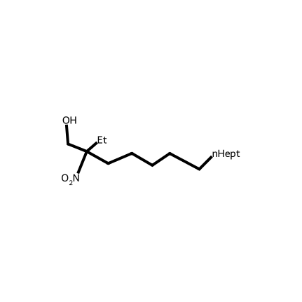 CCCCCCCCCCCCC(CC)(CO)[N+](=O)[O-]